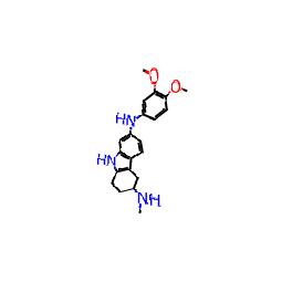 CNC1CCc2[nH]c3cc(Nc4ccc(OC)c(OC)c4)ccc3c2C1